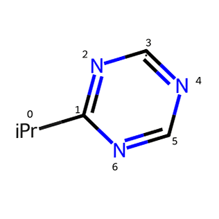 CC(C)c1n[c]ncn1